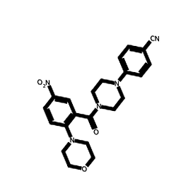 N#Cc1ccc(N2CCN(C(=O)c3cc([N+](=O)[O-])ccc3N3CCOCC3)CC2)cc1